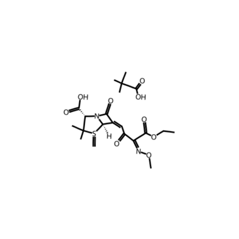 C=S1[C@@H]2C(=CC(=O)/C(=N/OC)C(=O)OCC)C(=O)N2[C@@H](C(=O)O)C1(C)C.CC(C)(C)C(=O)O